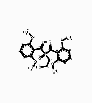 COc1cccc(OC)c1C(=O)P(=O)(CCO)C(=O)c1c(OC)cccc1OC